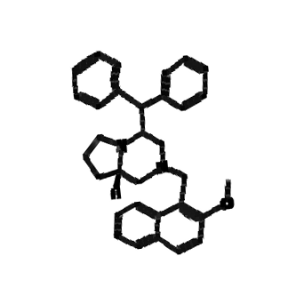 COc1ccc2ccccc2c1CN1CC(C(c2ccccc2)c2ccccc2)N2CCC[C@H]2C1